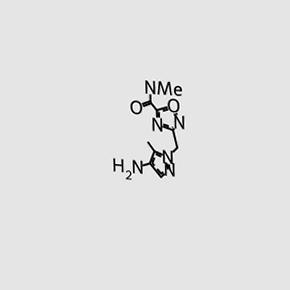 CNC(=O)c1nc(Cn2ncc(N)c2C)no1